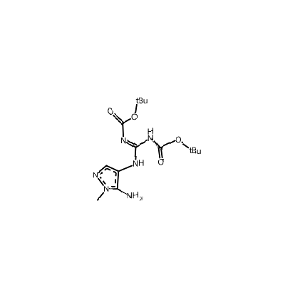 Cn1ncc(NC(=NC(=O)OC(C)(C)C)NC(=O)OC(C)(C)C)c1N